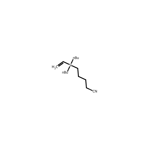 C=C[Si](CCCC)(CCCC)CCCCC#N